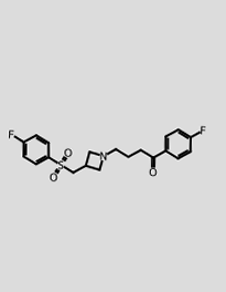 O=C(CCCN1CC(CS(=O)(=O)c2ccc(F)cc2)C1)c1ccc(F)cc1